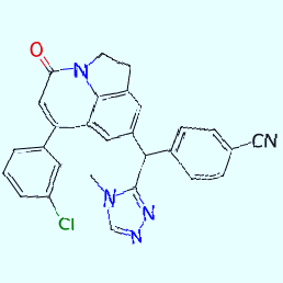 Cn1cnnc1C(c1ccc(C#N)cc1)c1cc2c3c(c1)c(-c1cccc(Cl)c1)cc(=O)n3CC2